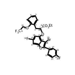 CCOC(=O)[C@@H](Cc1ccccc1OCC(F)(F)F)Oc1cc(F)cc2oc(-c3ccc(F)cc3)c(Br)c12